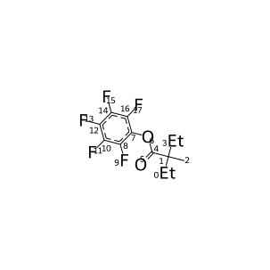 CCC(C)(CC)C(=O)Oc1c(F)c(F)c(F)c(F)c1F